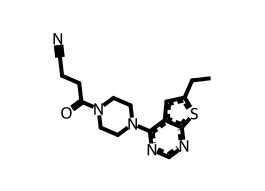 CCc1cc2c(N3CCN(C(=O)CCC#N)CC3)ncnc2s1